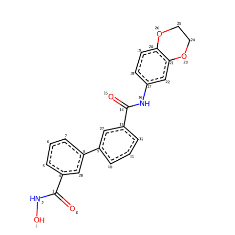 O=C(NO)c1cccc(-c2cccc(C(=O)Nc3ccc4c(c3)OCCO4)c2)c1